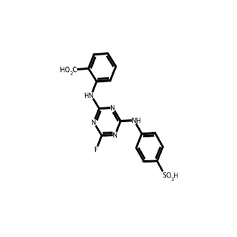 O=C(O)c1ccccc1Nc1nc(F)nc(Nc2c[c]c(S(=O)(=O)O)cc2)n1